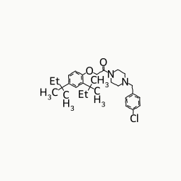 CCC(C)(C)c1ccc(OCC(=O)N2CCN(Cc3ccc(Cl)cc3)CC2)c(C(C)(C)CC)c1